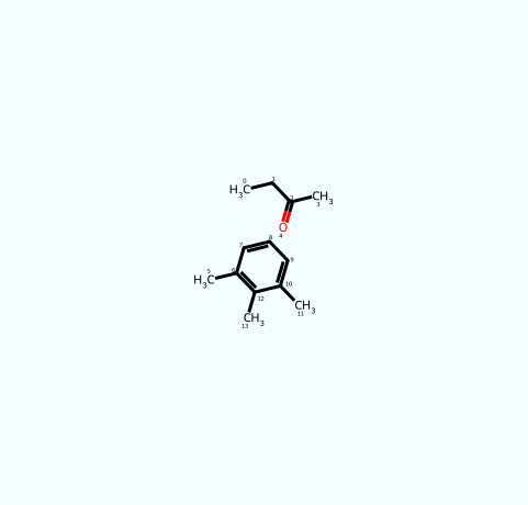 CCC(C)=O.Cc1cccc(C)c1C